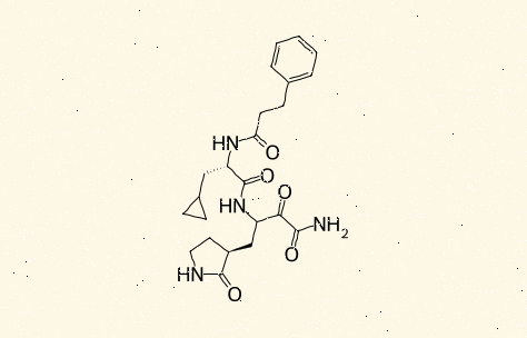 NC(=O)C(=O)C(C[C@@H]1CCNC1=O)NC(=O)[C@H](CC1CC1)NC(=O)CCc1ccccc1